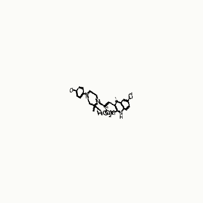 C[C@H]1C(C[C@H](O)N2CCN(c3ccc(Cl)cc3)CC2(C)C)=C(C(=O)O)Nc2ccc(Cl)cc21